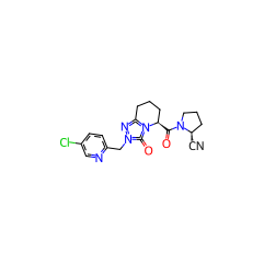 N#C[C@@H]1CCCN1C(=O)[C@@H]1CCCc2nn(Cc3ccc(Cl)cn3)c(=O)n21